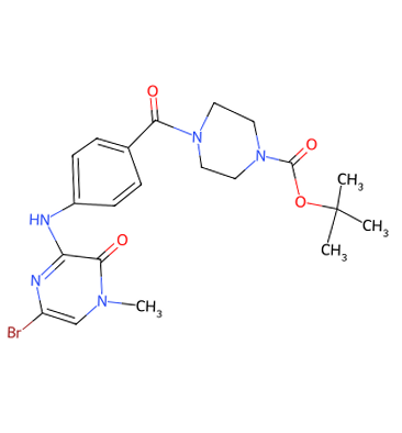 Cn1cc(Br)nc(Nc2ccc(C(=O)N3CCN(C(=O)OC(C)(C)C)CC3)cc2)c1=O